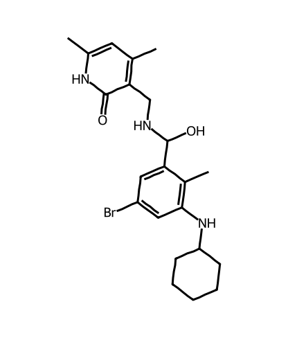 Cc1cc(C)c(CNC(O)c2cc(Br)cc(NC3CCCCC3)c2C)c(=O)[nH]1